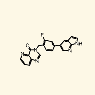 O=c1c2ncccc2ncn1Cc1ccc(-c2cnc3[nH]ccc3c2)cc1F